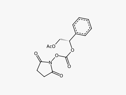 CC(=O)OC[C@@H](OC(=O)ON1C(=O)CCC1=O)c1ccccc1